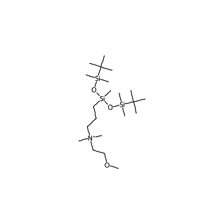 COCC[N+](C)(C)CCC[Si](C)(O[Si](C)(C)C(C)(C)C)O[Si](C)(C)C(C)(C)C